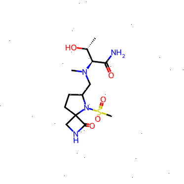 C[C@@H](O)[C@@H](C(N)=O)N(C)CC1CCC2(CNC2=O)N1S(C)(=O)=O